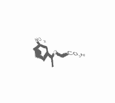 CC(OCC(=O)O)c1cccc([N+](=O)[O-])c1